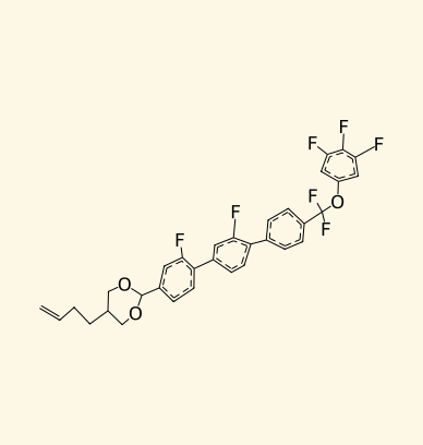 C=CCCC1COC(c2ccc(-c3ccc(-c4ccc(C(F)(F)Oc5cc(F)c(F)c(F)c5)cc4)c(F)c3)c(F)c2)OC1